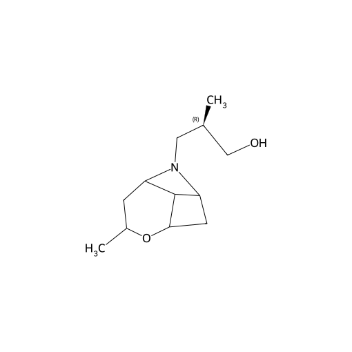 CC1CC2C3C(CC3N2C[C@@H](C)CO)O1